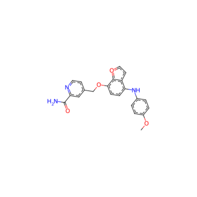 COc1ccc(Nc2ccc(OCc3ccnc(C(N)=O)c3)c3occc23)cc1